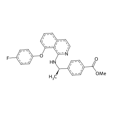 COC(=O)c1ccc([C@@H](C)Nc2nccc3cccc(Oc4ccc(F)cc4)c23)cc1